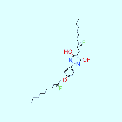 CCCCCCCC[C@H](F)COc1ccc(-c2nc(O)c(CC[C@@H](F)CCCCCC)c(O)n2)cc1